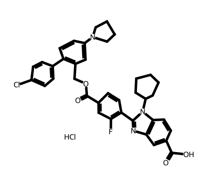 Cl.O=C(O)c1ccc2c(c1)nc(-c1ccc(C(=O)OCc3cc(N4CCCC4)ccc3-c3ccc(Cl)cc3)cc1F)n2C1CCCCC1